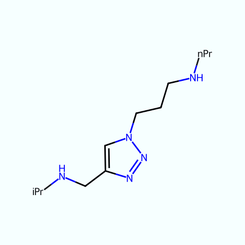 CCCNCCCn1cc(CNC(C)C)nn1